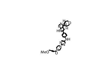 COCC#CC(=O)N1CCN(c2ncc(Nc3ccc(-c4cc5c(N6[C@@H]7CC[C@H]6COC7)ncnc5[nH]4)cc3)cn2)CC1